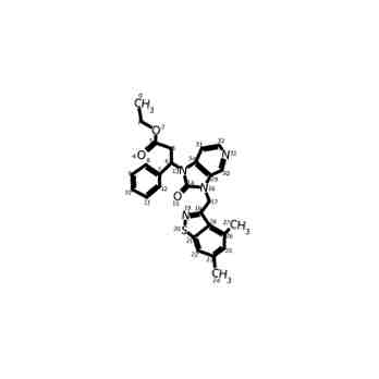 CCOC(=O)CC(c1ccccc1)n1c(=O)n(Cc2nsc3cc(C)cc(C)c23)c2cnccc21